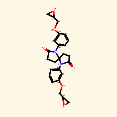 O=C1CCC2(CCC(=O)N2c2cccc(OCC3CO3)c2)N1c1cccc(OCC2CO2)c1